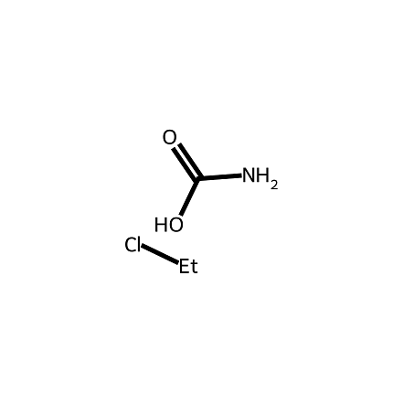 CCCl.NC(=O)O